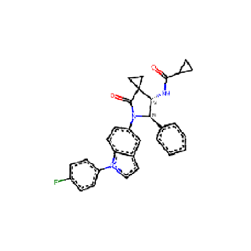 O=C(N[C@@H]1[C@@H](c2ccccc2)N(c2ccc3c(ccn3-c3ccc(F)cc3)c2)C(=O)C12CC2)C1CC1